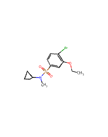 CCOc1cc(S(=O)(=O)N(C)C2CC2)ccc1Br